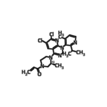 C=CC(=O)N1CCN(C2=NCN(c3c(C)ccnc3C(C)C)c3nc(Cl)c(Cl)cc32)[C@@H](C)C1